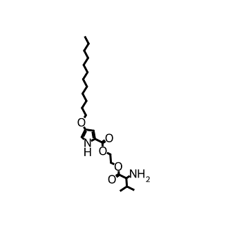 CCCCCCCCCCCCOc1c[nH]c(C(=O)OCCOC(=O)C(N)C(C)C)c1